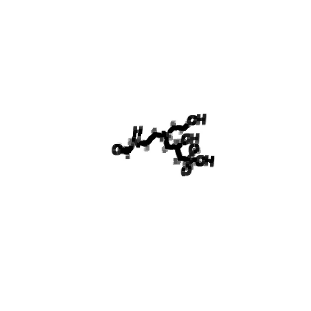 O=CNCCN(CCO)CC(O)CS(=O)(=O)O